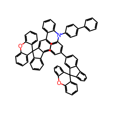 c1ccc(-c2ccc(N(c3cccc(-c4ccc5c(c4)C4(c6ccccc6Oc6ccccc64)c4ccccc4-5)c3)c3ccccc3-c3ccc4c(c3)C3(c5ccccc5Oc5ccccc53)c3ccccc3-4)cc2)cc1